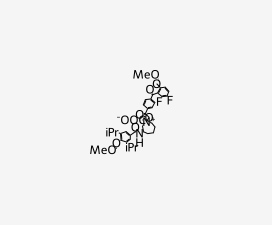 COCOc1ccc(F)c(F)c1C(=O)c1ccc(C(=O)O[N+]2(C(=O)[O-])CCCCC(NC(=O)c3cc(C(C)C)c(OCOC)c(C(C)C)c3)C2)cc1